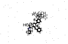 CC(C)(C)[Si](C)(C)Oc1cccc(-c2cnc(N/C(=C\c3ccco3)C(=O)O)c(Cc3ccccc3F)n2)c1F